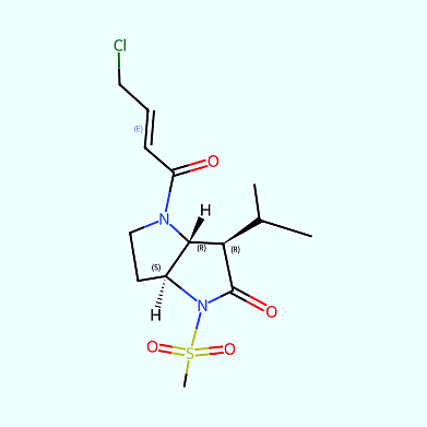 CC(C)[C@H]1C(=O)N(S(C)(=O)=O)[C@H]2CCN(C(=O)/C=C/CCl)[C@H]12